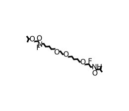 CC(C)OCC(=O)N(F)CCCCCOCCOCCCCCOCC(F)CNC(=O)C(C)C